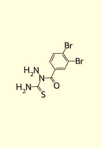 NC(=S)N(N)C(=O)c1ccc(Br)c(Br)c1